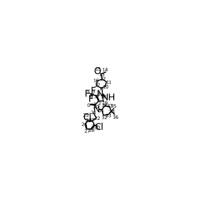 C=C(C1=C(C(F)(F)F)N(C2CCC(C(C)=O)CC2)NC1)N(CCc1c(Cl)cccc1Cl)C1CCC(C)(C)CC1